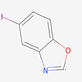 Ic1ccc2o[c]nc2c1